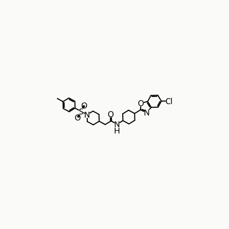 Cc1ccc(S(=O)(=O)N2CCC(CC(=O)NC3CCC(c4nc5cc(Cl)ccc5o4)CC3)CC2)cc1